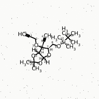 C#CCO[C@]1(C#C)[C@@H](CO[Si](C)(C)C(C)(C)C)O[C@@H]2OC(C)(C)O[C@@H]21